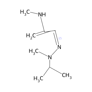 C=C(/C=N\N(C)C(C)C)NC